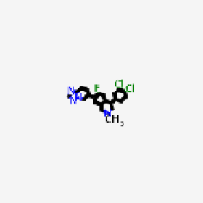 CN1Cc2cc(-c3ccc4ncnn4c3)c(F)cc2C(c2ccc(Cl)c(Cl)c2)C1